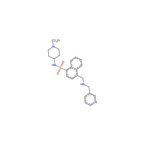 CCOC(=O)N1CCC(NS(=O)(=O)c2ccc(CNCc3cccnc3)c3ccccc23)CC1